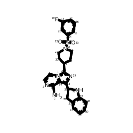 Nc1nccn2c(C3CCN(S(=O)(=O)c4cccc(F)c4)CC3)nc(C3Cc4ccccc4N3)c12